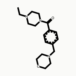 CCN1CCN(C(=O)c2ccc(CN3CCOCC3)cc2)CC1